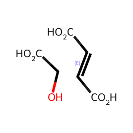 O=C(O)/C=C/C(=O)O.O=C(O)CO